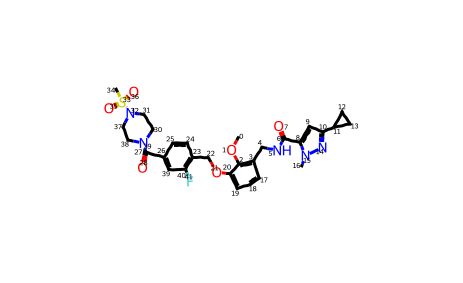 COc1c(CNC(=O)c2cc(C3CC3)nn2C)cccc1OCc1ccc(C(=O)N2CCN(S(C)(=O)=O)CC2)cc1F